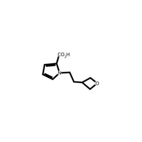 O=C(O)c1cccn1CCC1COC1